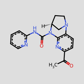 CC(=O)c1ccc2c(n1)N(C(=O)Nc1ccccn1)[C@H]1CCN2C1